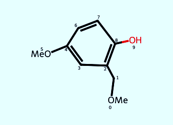 COCc1cc(OC)ccc1O